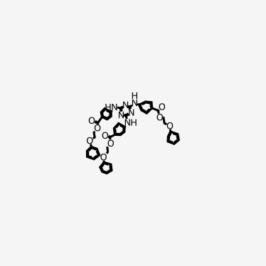 O=C(OCCOc1ccccc1)c1ccc(Nc2nc(Nc3ccc(C(=O)OCCOc4ccccc4)cc3)nc(Nc3ccc(C(=O)OCCOc4ccccc4)cc3)n2)cc1